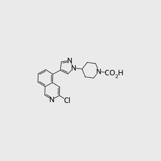 O=C(O)N1CCC(n2cc(-c3cccc4cnc(Cl)cc34)cn2)CC1